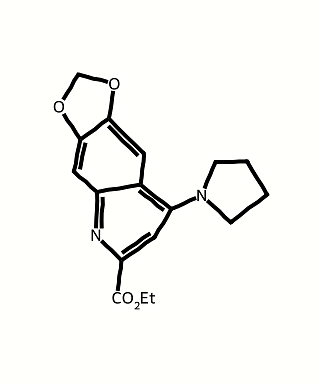 CCOC(=O)c1cc(N2CCCC2)c2cc3c(cc2n1)OCO3